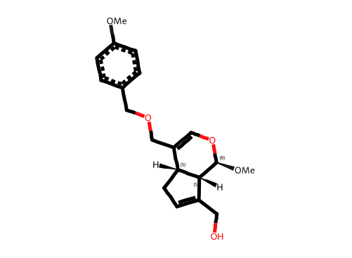 COc1ccc(COCC2=CO[C@@H](OC)[C@@H]3C(CO)=CC[C@H]23)cc1